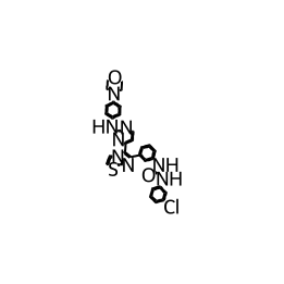 O=C(Nc1cccc(Cl)c1)Nc1cccc(-c2nc3sccn3c2-c2ccnc(Nc3ccc(N4CCOCC4)cc3)n2)c1